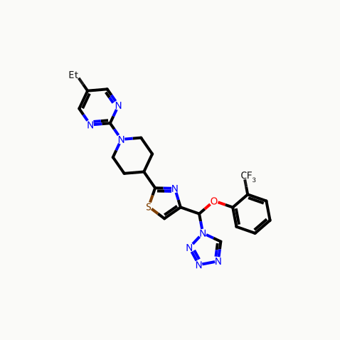 CCc1cnc(N2CCC(c3nc(C(Oc4ccccc4C(F)(F)F)n4cnnn4)cs3)CC2)nc1